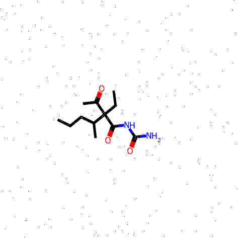 CCCC(C)C(CC)(C(C)=O)C(=O)NC(N)=O